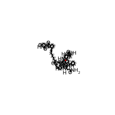 NC(=O)CCC(NC(=O)[C@@H]1CC[C@@H]2CCN(C(=O)CCCCCCC#Cc3cccc4c3CN(C3CCC(=O)NC3=O)C4=O)C[C@H](NC(=O)c3cc4cc(C(F)(F)P(=O)(O)O)ccc4[nH]3)C(=O)N21)C(=O)NC(c1ccccc1)c1ccccc1